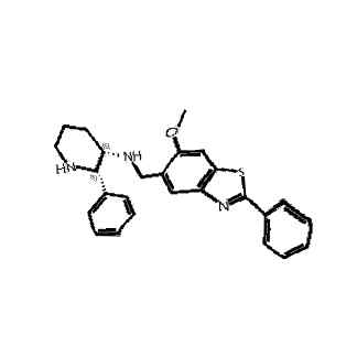 COc1cc2sc(-c3ccccc3)nc2cc1CN[C@H]1CCCN[C@H]1c1ccccc1